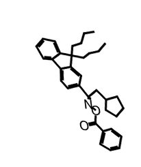 CCCCC1(CCCC)c2ccccc2-c2ccc(/C(CC3CCCC3)=N/OC(=O)c3ccccc3)cc21